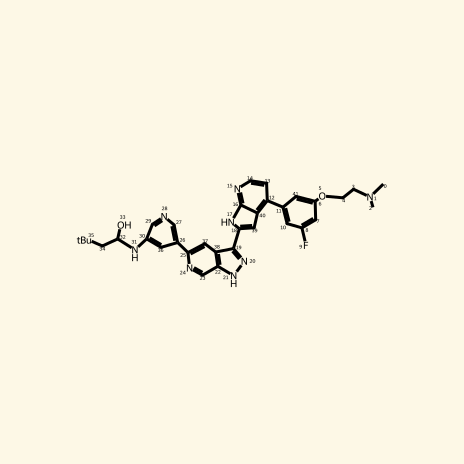 CN(C)CCOc1cc(F)cc(-c2ccnc3[nH]c(-c4n[nH]c5cnc(-c6cncc(NC(O)CC(C)(C)C)c6)cc45)cc23)c1